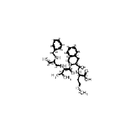 CSCCC(NC(=O)C1Cc2ccccc2CN1C(=O)[C@@H](NCC(CS)NCc1ccccc1)C(C)C)C(=O)O